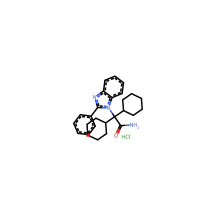 Cl.NC(=O)C(C1CCCCC1)(C1CCCCC1)n1c(-c2ccccc2)nc2ccccc21